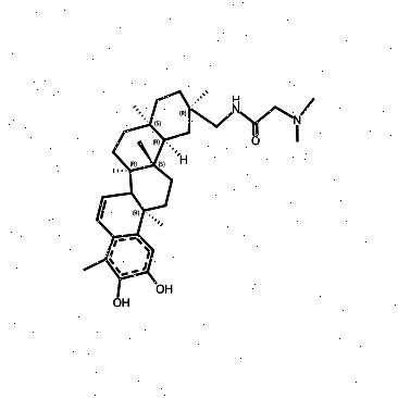 Cc1c(O)c(O)cc2c1C=CC1[C@@]2(C)CC[C@@]2(C)[C@@H]3C[C@](C)(CNC(=O)CN(C)C)CC[C@]3(C)CC[C@]12C